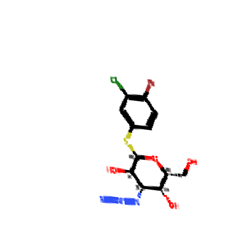 [N-]=[N+]=N[C@@H]1[C@@H](O)[C@@H](Sc2ccc(Br)c(Cl)c2)O[C@H](CO)[C@@H]1O